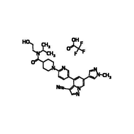 CC(C)N(CCO)C(=O)C1CCN(c2ccc(-c3cc(-c4cnn(C)c4)cn4ncc(C#N)c34)cn2)CC1.O=C(O)C(F)(F)F